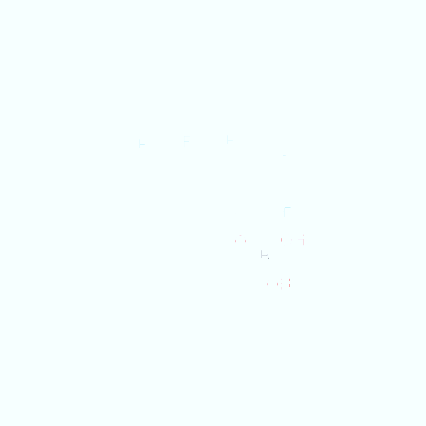 OB(O)Oc1c(F)c(F)c(F)c2c(F)c3c(F)cccc3cc12